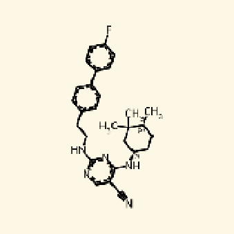 C[C@H]1CC[C@@H](Nc2nc(NCCc3ccc(-c4ccc(F)cc4)cc3)ncc2C#N)CC1(C)C